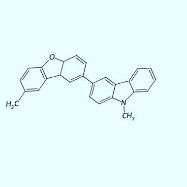 Cc1ccc2c(c1)C1C=C(c3ccc4c(c3)c3ccccc3n4C)C=CC1O2